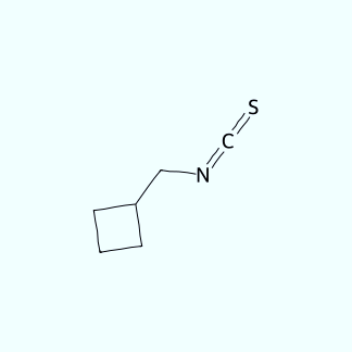 S=C=NCC1CCC1